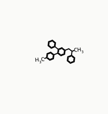 Cc1ccc(-c2ccc(CC(C)c3ccccc3)cc2-c2ccccc2)cc1